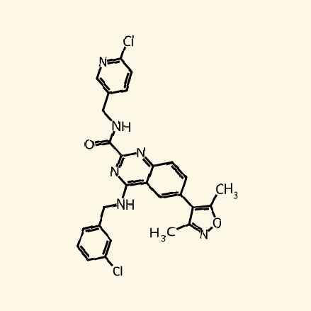 Cc1noc(C)c1-c1ccc2nc(C(=O)NCc3ccc(Cl)nc3)nc(NCc3cccc(Cl)c3)c2c1